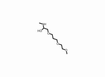 CNC(O)COCCCOCCOC